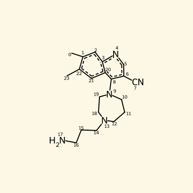 Cc1cc2ncc(C#N)c(N3CCCN(CCCN)CC3)c2cc1C